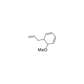 C=CCC1C=CC=CC1OC